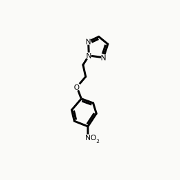 O=[N+]([O-])c1ccc(OCCn2nccn2)cc1